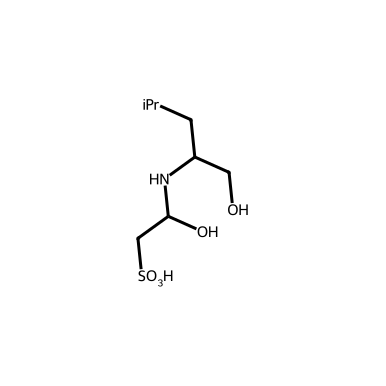 CC(C)CC(CO)NC(O)CS(=O)(=O)O